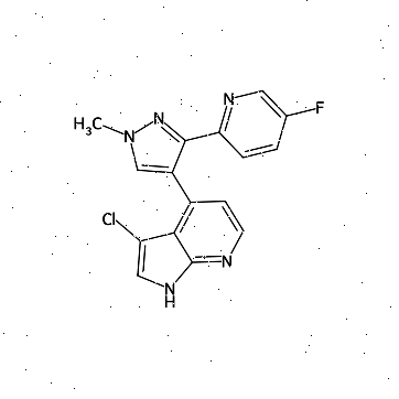 Cn1cc(-c2ccnc3[nH]cc(Cl)c23)c(-c2ccc(F)cn2)n1